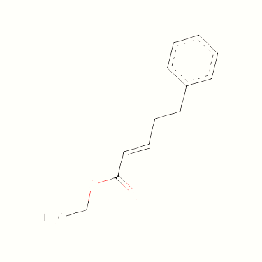 CCOC(=O)C=CCCc1ccccc1